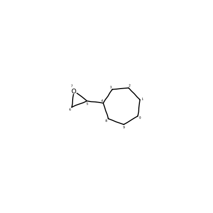 C1CCCC(C2CO2)CC1